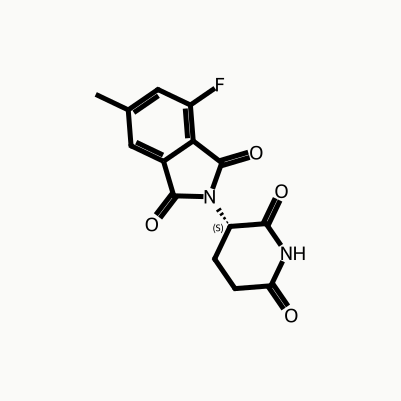 Cc1cc(F)c2c(c1)C(=O)N([C@H]1CCC(=O)NC1=O)C2=O